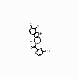 C[C@@H]1c2c([nH]c3c(Cl)c(Cl)ccc23)CCN1C(=O)c1nccc(O)n1